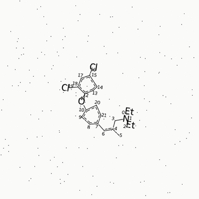 CCN(CC)C/C(C)=C\c1ccc(Oc2ccc(Cl)cc2Cl)cc1